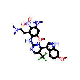 CNc1cc(OC)c(Nc2ncc(C(F)(F)F)c(-c3c[nH]c4cc(OC)ccc34)n2)c(CCN(C)C)c1[N+](=O)[O-]